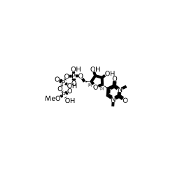 COP(=O)(O)OP(=O)(O)OP(=O)(O)OC[C@H]1O[C@@H](c2cn(C)c(=O)n(C)c2=O)C(O)C1O